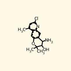 Cc1cc(Cl)nc2cc3c(cc12)OC(C)(C)C(O)C3N